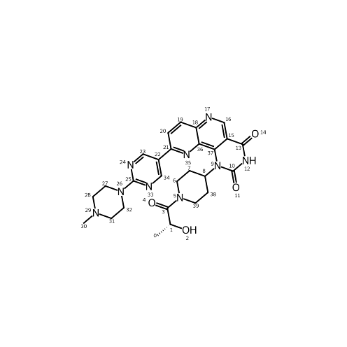 C[C@@H](O)C(=O)N1CCC(n2c(=O)[nH]c(=O)c3cnc4ccc(-c5cnc(N6CCN(C)CC6)nc5)nc4c32)CC1